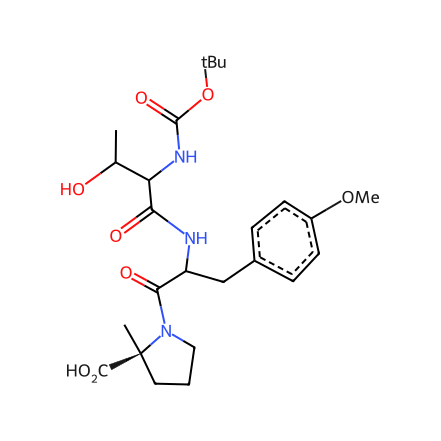 COc1ccc(CC(NC(=O)C(NC(=O)OC(C)(C)C)C(C)O)C(=O)N2CCC[C@@]2(C)C(=O)O)cc1